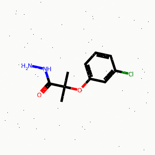 CC(C)(Oc1cccc(Cl)c1)C(=O)NN